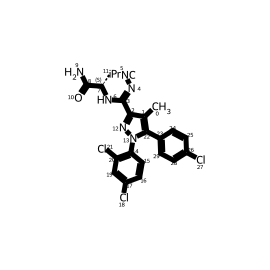 Cc1c(C(=NC#N)N[C@H](C(N)=O)C(C)C)nn(-c2ccc(Cl)cc2Cl)c1-c1ccc(Cl)cc1